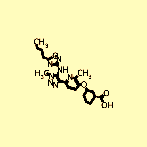 CCCCc1nc(Nc2c(-c3ccc(OC4CCC[C@H](C(=O)O)C4)c(C)n3)nnn2C)no1